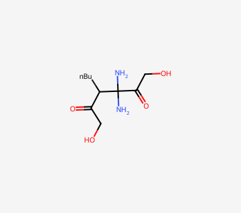 CCCCC(C(=O)CO)C(N)(N)C(=O)CO